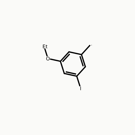 [CH2]c1cc(I)cc(OCC)c1